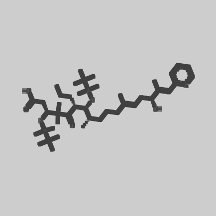 CCC[C@@H](C(=O)C(C)(C)[C@H](CC(=O)O)O[Si](C)(C)C(C)(C)C)[C@@H](O[Si](C)(C)C(C)(C)C)[C@@H](C)CCC/C(C)=C/C[C@H](O)/C(C)=C/c1ccccn1